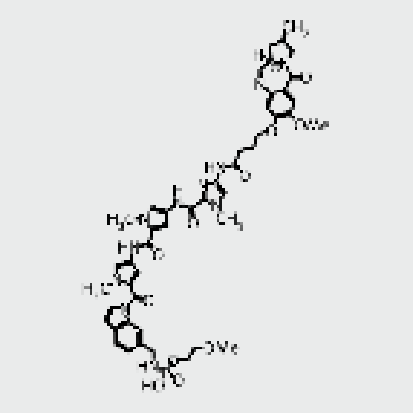 C=C1C[C@H]2C=Nc3cc(OCCCC(=O)Nc4cn(C)c(C(=O)Nc5cc(C(=O)Nc6cc(C(=O)n7ccc8ccc(CNP(=O)(O)OCCOC)cc87)n(C)c6)n(C)c5)n4)c(OC)cc3C(=O)N2C1